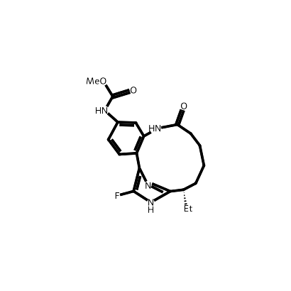 CC[C@H]1CCCCC(=O)Nc2cc(NC(=O)OC)ccc2-c2nc1[nH]c2F